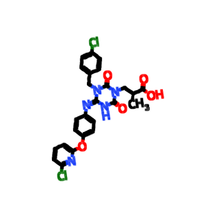 C[C@@H](Cn1c(=O)[nH]/c(=N\c2ccc(Oc3cccc(Cl)n3)cc2)n(Cc2ccc(Cl)cc2)c1=O)C(=O)O